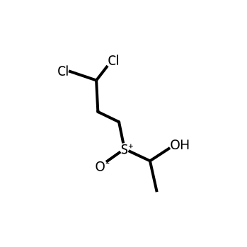 CC(O)[S+]([O-])CCC(Cl)Cl